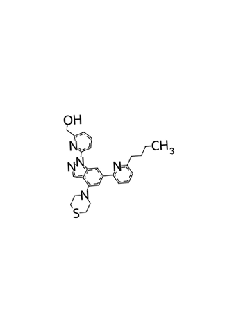 CCCCc1cccc(-c2cc(N3CCSCC3)c3cnn(-c4cccc(CO)n4)c3c2)n1